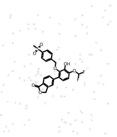 CS(=O)(=O)c1ccc(COc2c(-c3ccc4c(c3)COC4=O)ccc(OC(F)F)c2O)cc1